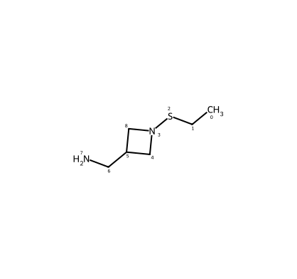 CCSN1CC(CN)C1